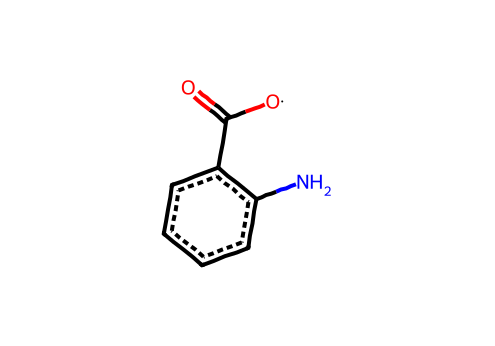 Nc1ccccc1C([O])=O